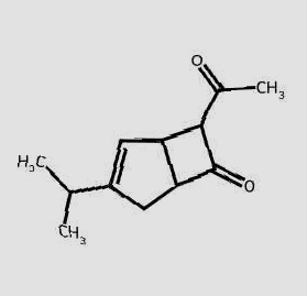 CC(=O)C1C(=O)C2CC(C(C)C)=CC21